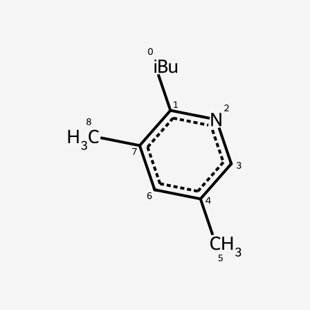 CCC(C)c1ncc(C)cc1C